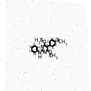 COc1ccc(-c2c(OC)nc(Nc3ccccc3)nc2OC)cc1